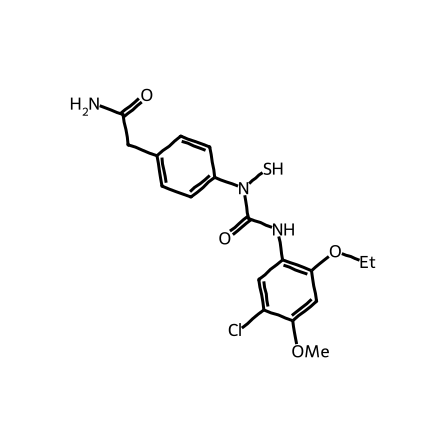 CCOc1cc(OC)c(Cl)cc1NC(=O)N(S)c1ccc(CC(N)=O)cc1